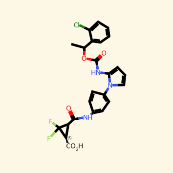 CC(OC(=O)Nc1cccn1-c1ccc(NC(=O)C2[C@@H](C(=O)O)C2(F)F)cc1)c1ccccc1Cl